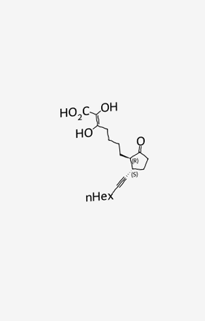 CCCCCCC#C[C@H]1CCC(=O)[C@@H]1CCCCC(O)=C(O)C(=O)O